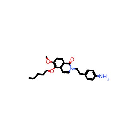 CCCCCOc1c(OC)ccc2c(=O)n(CCc3ccc(N)cc3)ccc12